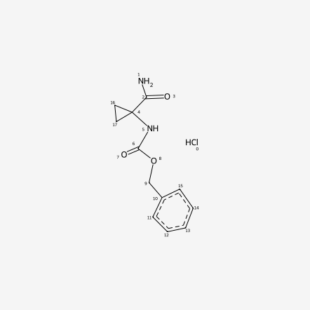 Cl.NC(=O)C1(NC(=O)OCc2ccccc2)CC1